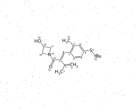 C=C(C)/C(=C\c1ccc(SC(C)(C)C)cc1C)C(=O)N1CC(O)C1